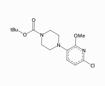 COc1nc(Cl)ccc1N1CCN(C(=O)OC(C)(C)C)CC1